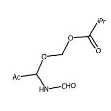 [CH2]C(=O)C(NC=O)OCOC(=O)C(C)C